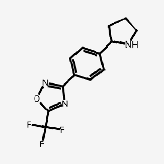 FC(F)(F)c1nc(-c2ccc(C3CCCN3)cc2)no1